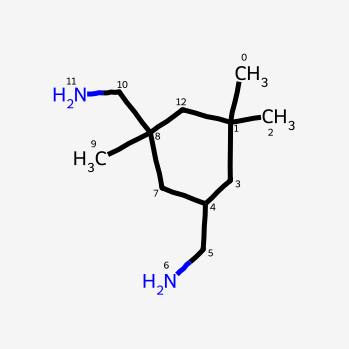 CC1(C)CC(CN)CC(C)(CN)C1